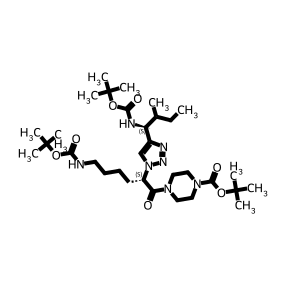 CCC(C)[C@H](NC(=O)OC(C)(C)C)c1cn([C@@H](CCCCNC(=O)OC(C)(C)C)C(=O)N2CCN(C(=O)OC(C)(C)C)CC2)nn1